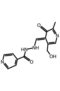 CC1=NC=C(CO)/C(=C\NNC(=O)c2ccncc2)C1=O